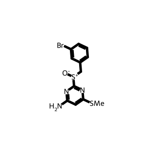 CSc1cc(N)nc([S+]([O-])Cc2cccc(Br)c2)n1